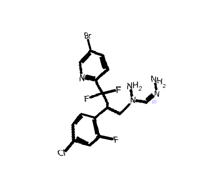 N/N=C\N(N)CC(c1ccc(Cl)cc1F)C(F)(F)c1ccc(Br)cn1